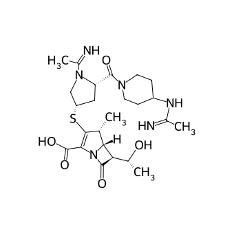 CC(=N)NC1CCN(C(=O)[C@@H]2C[C@H](SC3=C(C(=O)O)N4C(=O)[C@H]([C@@H](C)O)[C@H]4[C@H]3C)CN2C(C)=N)CC1